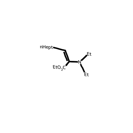 CCCCCCC/C=C(\C(=O)OCC)N(CC)CC